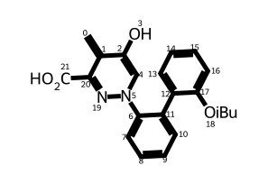 C=C1C(O)=CN(c2ccccc2-c2ccccc2OCC(C)C)N=C1C(=O)O